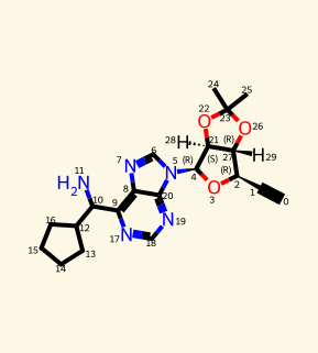 C#C[C@H]1O[C@@H](n2cnc3c(C(N)C4CCCC4)ncnc32)[C@H]2OC(C)(C)O[C@@H]21